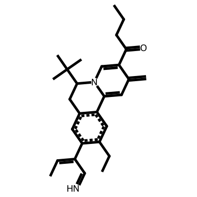 C=C1C=C2c3cc(CC)c(/C(C=N)=C/C)cc3CC(C(C)(C)C)N2C=C1C(=O)CCC